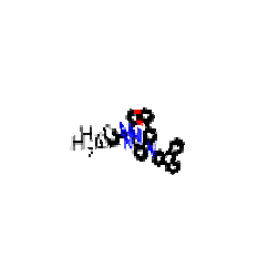 C=C/C=C\C(=C/C)c1nc(-c2ccccc2)nc(-c2cccc3c2c2cc(-c4ccccc4)ccc2n3-c2ccc3c4ccccc4c4ccccc4c3c2)n1